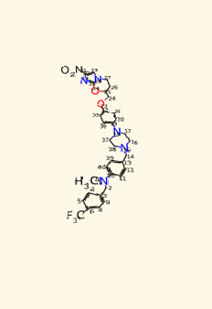 CN(Cc1ccc(C(F)(F)F)cc1)c1ccc(CN2CCN(c3ccc(OC[C@@H]4CCn5cc([N+](=O)[O-])nc5O4)cc3)CC2)cc1